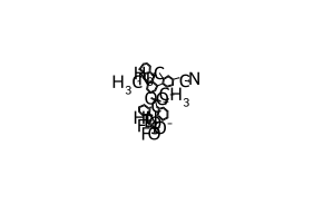 Cc1cc(CCC#N)cc(C)c1-c1cccc2c1cc1ccccc1[n+]2C.O=C([O-])[c+]1c2ccccc2[nH]c2ccccc21.O=S(=O)([O-])C(F)(F)F